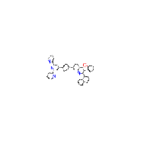 c1ccc(-c2cc(-c3ccc(-c4ccc5c(c4)nc(-c4cccc6ccccc46)c4c6ccccc6oc54)cc3)cc(-c3ccccn3)n2)nc1